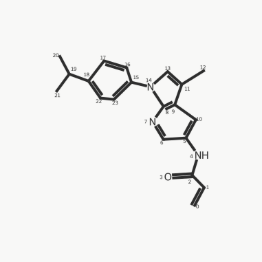 C=CC(=O)Nc1cnc2c(c1)c(C)cn2-c1ccc(C(C)C)cc1